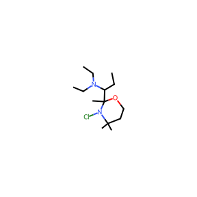 CCC(N(CC)CC)C1(C)OCCC(C)(C)N1Cl